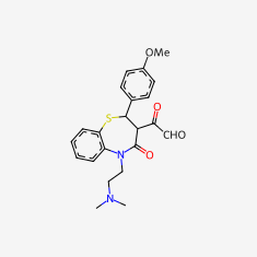 COc1ccc(C2Sc3ccccc3N(CCN(C)C)C(=O)C2C(=O)C=O)cc1